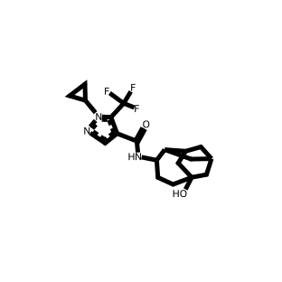 O=C(NC1CCC2(O)CC3CC(C2)C1C3)c1cnn(C2CC2)c1C(F)(F)F